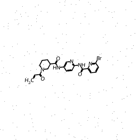 C=CC(=O)N1CCCC(C(=O)Nc2ccc(NC(=O)c3cccc(Br)n3)nc2)C1